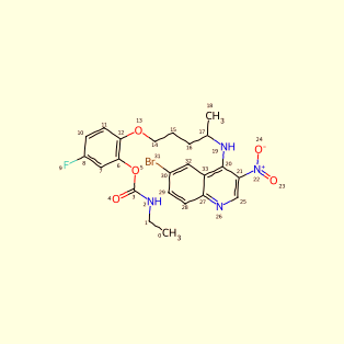 CCNC(=O)Oc1cc(F)ccc1OCCCC(C)Nc1c([N+](=O)[O-])cnc2ccc(Br)cc12